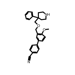 COc1ccc(-c2ccc(C#N)cc2)cc1COCC1(c2ccccc2)CCNCC1